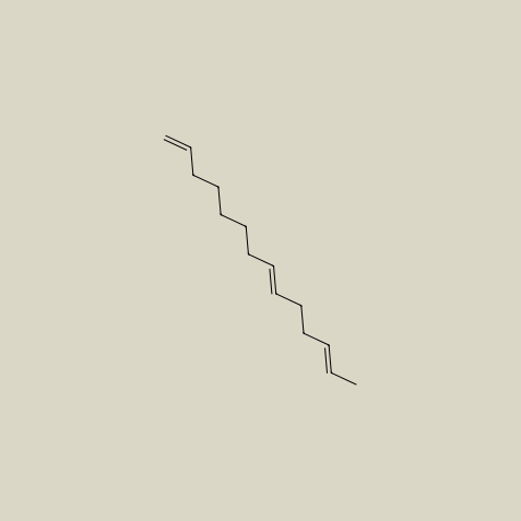 C=CCCCCCC=CCCC=CC